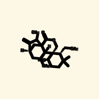 C=C1C(OC(C)=O)[C@]23C[C@H]1CC(OC(C)=O)[C@H]2[C@]1(COC3=O)[C@@H](OC(C)=O)CCC(C)(C)[C@H]1COC(C)=O